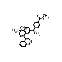 C=C(c1ccc(C(=O)OC)cc1)c1ccc2c(c1)C(c1cncc3ccccc13)=CCC2(C)C